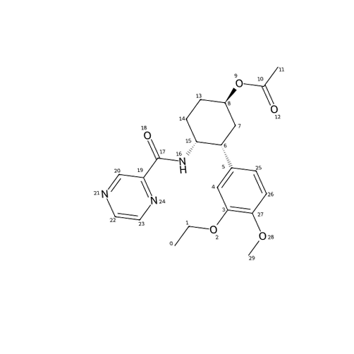 CCOc1cc([C@H]2C[C@H](OC(C)=O)CC[C@H]2NC(=O)c2cnccn2)ccc1OC